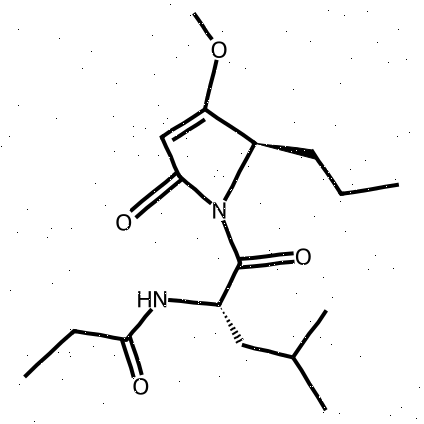 CCC[C@@H]1C(OC)=CC(=O)N1C(=O)[C@H](CC(C)C)NC(=O)CC